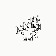 COc1ccc(-c2nnc3c4ccccc4c(Nc4ccc(C(=O)N(C)C)cc4)nn23)cc1